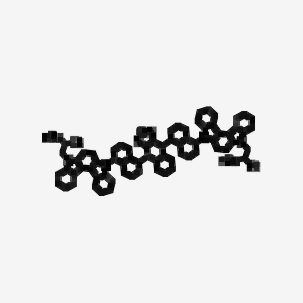 CCCCC(CC)Cn1c2ccccc2c2c3c4ccccc4n(-c4cccc5c(-c6c7ccccc7c(-c7cccc8c(-n9c%10ccccc%10c%10c%11c%12ccccc%12n(CC(CC)CCCC)c%11ccc%109)cccc78)c7nonc67)cccc45)c3ccc21